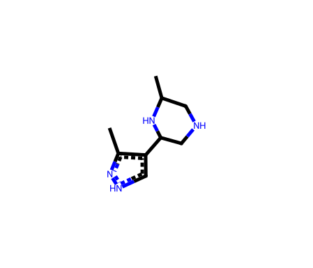 Cc1n[nH]cc1C1CNCC(C)N1